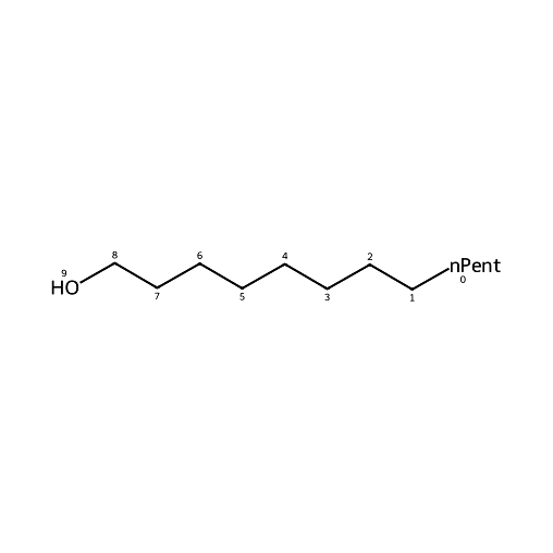 CC[CH]CCCCCCCCCCO